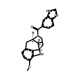 COc1ccc2c3c1N[C@]31CCN(C(=O)c3ccc4nc[nH]c4c3)[C@H](C2)[C@H]1C